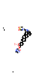 C=C(C)[C@@H]1CC[C@]2(NCCN3CCS(=O)(=O)CC3)CC[C@]3(C)[C@H](CC[C@@H]4[C@@]5(C)CC=C(C6=CCC(CCOc7cnccn7)(C(=O)O)CC6)C(C)(C)[C@@H]5CC[C@]43C)[C@@H]12